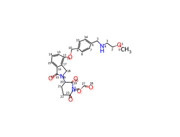 COCCNCc1ccc(COc2cccc3c2CN(C2CCC(=O)N(OC=O)C2=O)C3=O)cc1